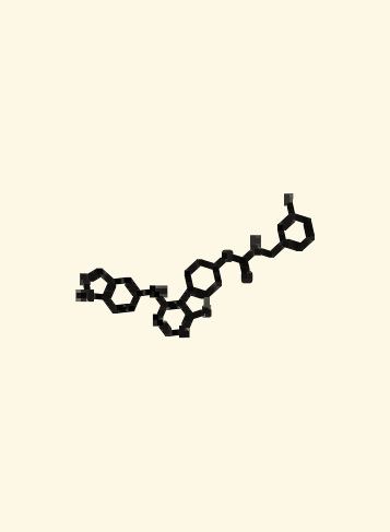 O=C(NCc1cccc(F)c1)OC1CCc2c(sc3ncnc(Nc4ccc5[nH]ncc5c4)c23)C1